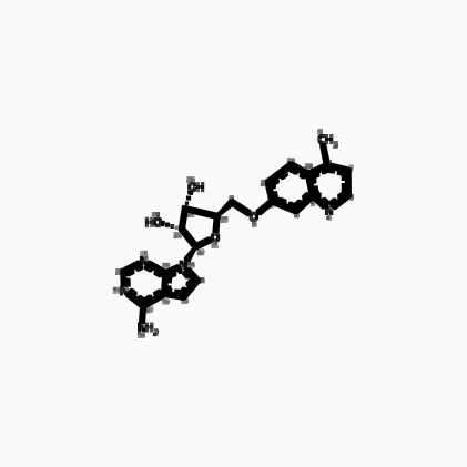 Cc1ccnc2cc(OC[C@H]3O[C@@H](n4ccc5c(N)ncnc54)[C@H](O)[C@@H]3O)ccc12